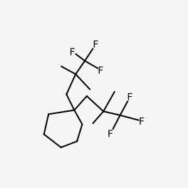 CC(C)(CC1(CC(C)(C)C(F)(F)F)CCCCC1)C(F)(F)F